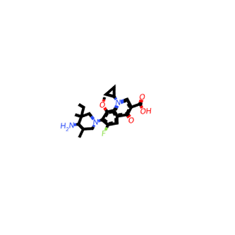 CCC1(C)CN(c2c(F)cc3c(=O)c(C(=O)O)cn(C4CC4)c3c2OC)CC(C)C1N